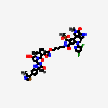 Cc1ncsc1-c1ccc(C2(C)NC(C3CC(O)CN3C(=O)C(c3cc(OCCCCCNC(=O)c4cc5c(cc4CS(C)(=O)=O)-c4cn(C)c(=O)c6[nH]cc(c46)CN5c4ncc(F)cc4F)no3)C(C)C)=NC2=O)cc1